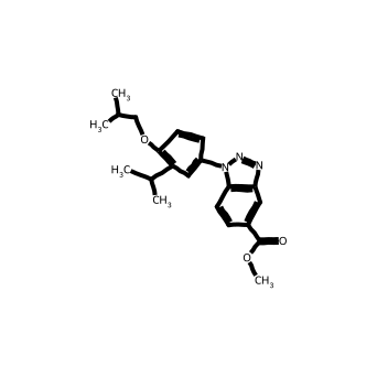 COC(=O)c1ccc2c(c1)nnn2-c1ccc(OCC(C)C)c(C(C)C)c1